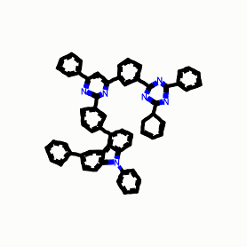 C1=CCC(c2nc(-c3ccccc3)nc(-c3cccc(-c4cc(-c5ccccc5)nc(-c5cccc(-c6cccc7c6c6cc(-c8ccccc8)ccc6n7-c6ccccc6)c5)n4)c3)n2)C=C1